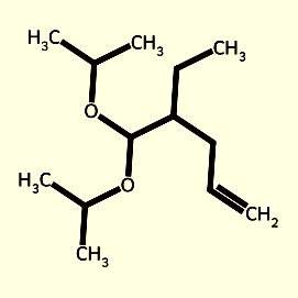 C=CCC(CC)C(OC(C)C)OC(C)C